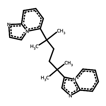 CC(C)(CCC(C)(C)c1cnc2ccccn12)c1cccc2nccn12